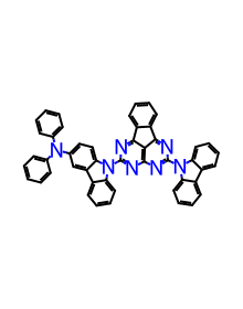 c1ccc(N(c2ccccc2)c2ccc3c(c2)c2ccccc2n3-c2nc3c4c(nc(-n5c6ccccc6c6ccccc65)nc4n2)-c2ccccc2-3)cc1